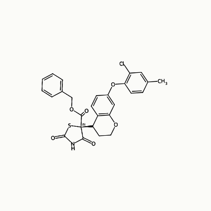 Cc1ccc(Oc2ccc3c(c2)OCCC3[C@]2(C(=O)OCc3ccccc3)SC(=O)NC2=O)c(Cl)c1